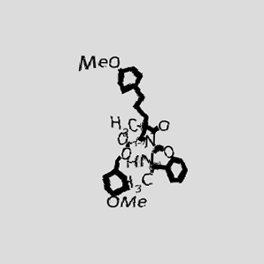 COc1ccc(CCC[C@@]2(C)C(=O)N(C(=O)N[C@H](C)c3ccccc3)[C@@H]2C(=O)OCc2ccc(OC)cc2)cc1